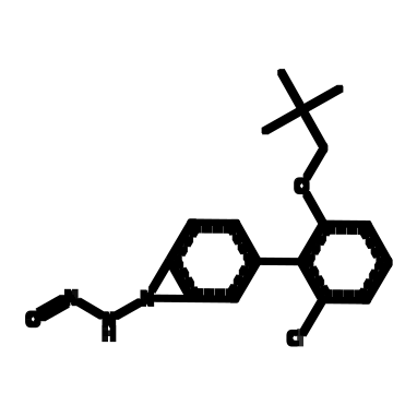 CC(C)(C)COc1cccc(Cl)c1-c1ccc2c(c1)N2NN=O